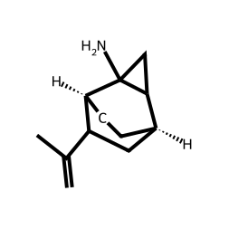 C=C(C)C1C[C@H]2CC[C@@H]1C1(N)CC21